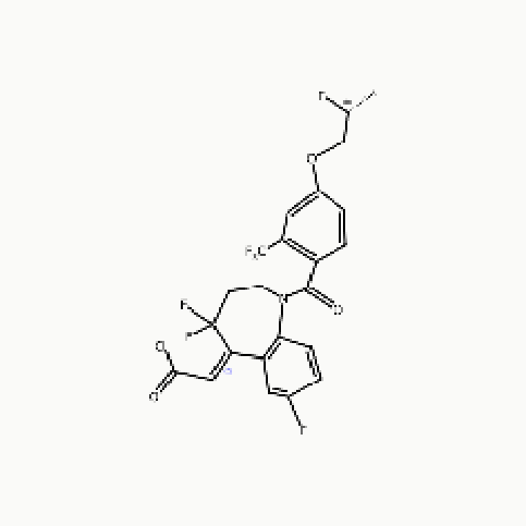 C[C@@H](F)COc1ccc(C(=O)N2CCC(F)(F)/C(=C\C(=O)Cl)c3cc(F)ccc32)c(C(F)(F)F)c1